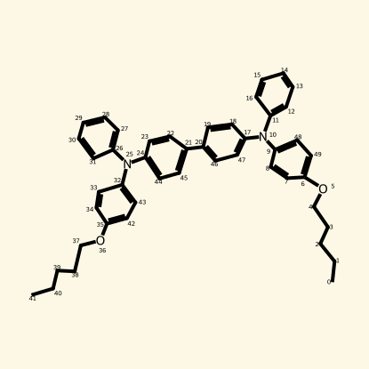 CCCCCOc1ccc(N(c2ccccc2)c2ccc(-c3ccc(N(c4ccccc4)c4ccc(OCCCCC)cc4)cc3)cc2)cc1